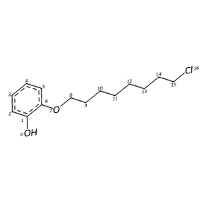 Oc1ccccc1OCCCCCCCCCl